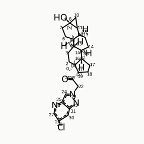 C[C@]12CC[C@@H]3[C@H]4CC[C@]5(O)CC5[C@H]4CC[C@H]3[C@@H]1CC[C@@H]2C(=O)Cn1cc2ncc(Cl)cc2n1